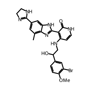 COc1ccc(C(O)CNc2cc[nH]c(=O)c2-c2nc3c(C)cc(C4=NCCN4)cc3[nH]2)cc1Br